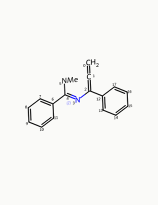 C=C=C(/N=C(\NC)c1ccccc1)c1ccccc1